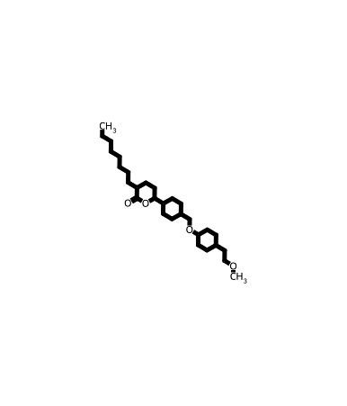 CCCCCCCCC1CCC(C2CCC(COC3CCC(CCOC)CC3)CC2)OC1=O